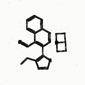 C1CN2CCC12.CCc1ccsc1-c1ccc2ccccc2c1C=O